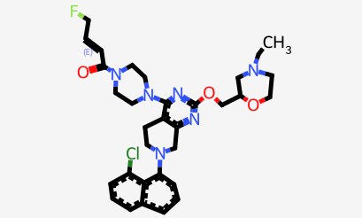 CCN1CCOC(COc2nc3c(c(N4CCN(C(=O)/C=C/CF)CC4)n2)CCN(c2cccc4cccc(Cl)c24)C3)C1